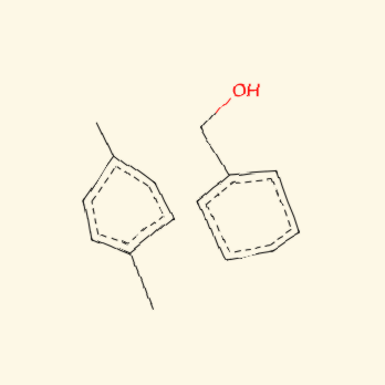 Cc1ccc(C)cc1.OCc1ccccc1